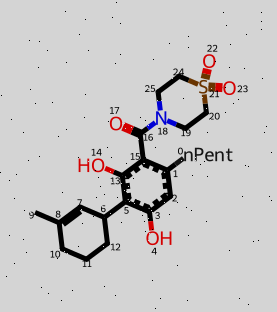 CCCCCc1cc(O)c(C2C=C(C)CCC2)c(O)c1C(=O)N1CCS(=O)(=O)CC1